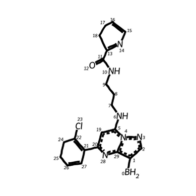 Bc1cnn2c(NCCCNC(=O)C3=NC=CCC3)cc(C3=C(Cl)CCC=C3)nc12